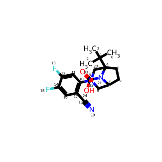 CC(C)(C)C12CCC(CN(c3cc(F)c(F)cc3C#N)C1)N2C(=O)O